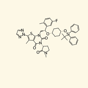 Cc1ccc(F)cc1[C@H](Cn1c(=O)n([C@@H]2CCN(C)C2=O)c(=O)c2c(C)c(-n3nccn3)sc21)O[C@H]1CC[C@@H](O[Si](c2ccccc2)(c2ccccc2)C(C)(C)C)CC1